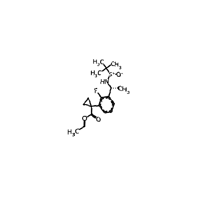 CCOC(=O)C1(c2cccc([C@@H](C)N[S@@+]([O-])C(C)(C)C)c2F)CC1